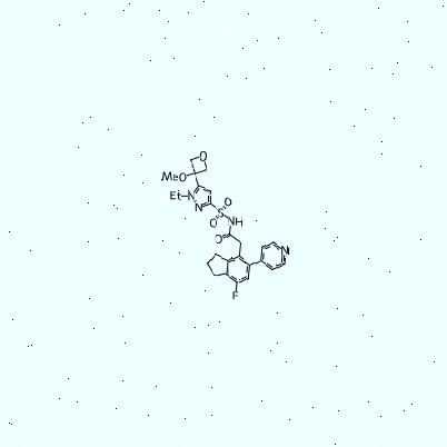 CCn1nc(S(=O)(=O)NC(=O)Cc2c(-c3ccncc3)cc(F)c3c2CCC3)cc1C1(OC)COC1